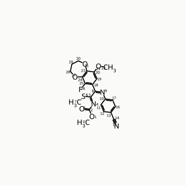 COC(=O)N=C(SC)C(=Nc1ccc(C#N)cc1)c1cc(OC)c2c(c1F)OCCCO2